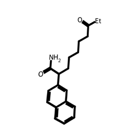 CCC(=O)CCCCCC(C(N)=O)c1ccc2ccccc2c1